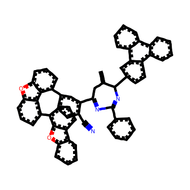 C=C1CC(c2cc(-c3cccc4oc5cccc(-c6cccc7c6oc6ccccc67)c5c34)ccc2C#N)=NC(c2ccccc2)=NC1c1ccc2c3ccccc3c3ccccc3c2c1